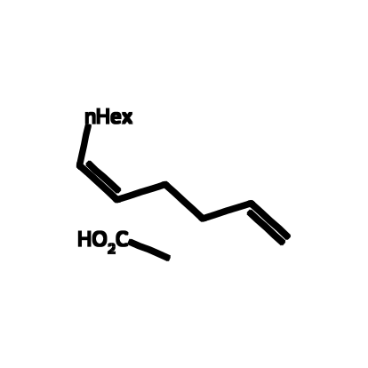 C=CCC/C=C\CCCCCC.CC(=O)O